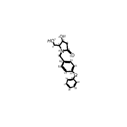 O=C1CC(O)C(CO)N1Cc1ccc(Oc2ccccc2)cc1